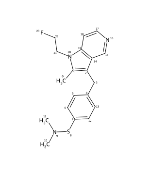 Cc1c(Cc2ccc(SN(C)C)cc2)c2cnccc2n1CCF